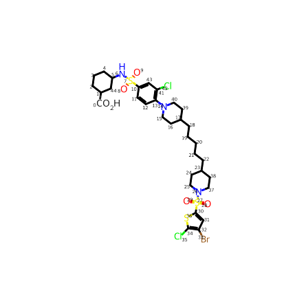 O=C(O)C1CCCC(NS(=O)(=O)c2ccc(N3CCC(CCCCCC4CCN(S(=O)(=O)c5cc(Br)c(Cl)s5)CC4)CC3)c(Cl)c2)C1